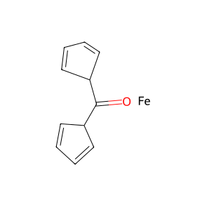 O=C(C1C=CC=C1)C1C=CC=C1.[Fe]